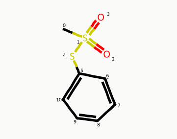 CS(=O)(=O)Sc1[c]cccc1